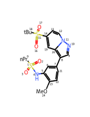 CCCS(=O)(=O)Nc1cc(-c2cnn3ccc(S(=O)(=O)C(C)(C)C)cc23)ccc1OC